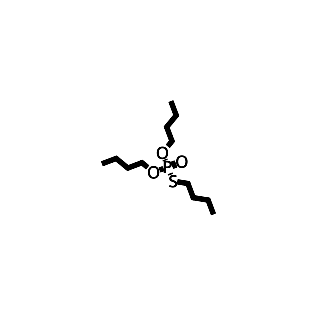 CCCCOP(=O)(OCCCC)SCCCC